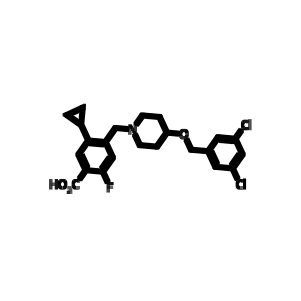 O=C(O)c1cc(C2CC2)c(CN2CCC(OCc3cc(Cl)cc(Cl)c3)CC2)cc1F